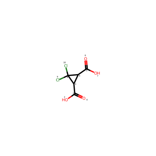 O=C(O)C1C(C(=O)O)C1(Cl)Cl